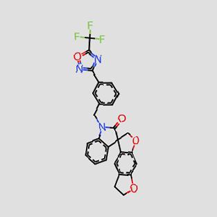 O=C1N(Cc2cccc(-c3noc(C(F)(F)F)n3)c2)c2ccccc2C12COc1cc3c(cc12)CCO3